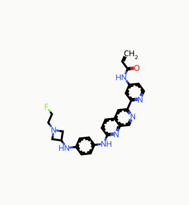 C=CC(=O)Nc1ccnc(-c2cc3ccc(Nc4ccc(NC5CN(CCF)C5)cc4)nc3cn2)c1